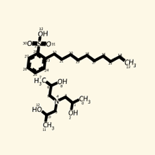 CC(O)CN(CC(C)O)CC(C)O.CCCCCCCCCCc1ccccc1S(=O)(=O)O